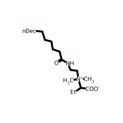 CCCCCCCCCCCCCCCC(=O)NCC[N+](C)(C)C(CC)C(=O)[O-]